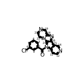 O=C(c1cccc(Cl)c1)n1c2ccncc2c2nc3cnccn3c21